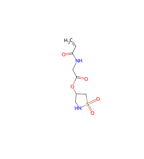 C=CC(=O)NCC(=O)OC1CNS(=O)(=O)C1